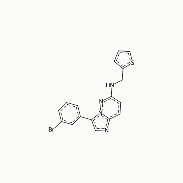 Brc1cccc(-c2cnc3ccc(NCc4cccs4)nn23)c1